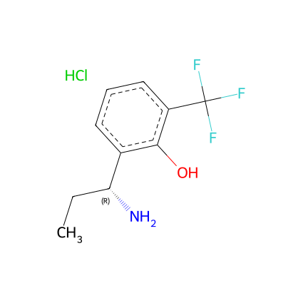 CC[C@@H](N)c1cccc(C(F)(F)F)c1O.Cl